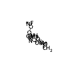 C=CC(=O)N1CCC(Oc2cc3c(Nc4cc(-c5ccc(F)c(N6CCC6)c5)ccc4OC)ncnc3cc2OC)CC1